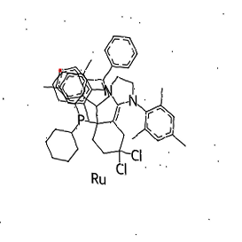 Cc1cc(C)c(N2CCN(c3c(C)cc(C)cc3C)C2=C2CC(Cl)(Cl)CCC2(C2C=C(c3ccccc3)c3ccccc32)P(C2CCCCC2)C2CCCCC2)c(C)c1.[Ru]